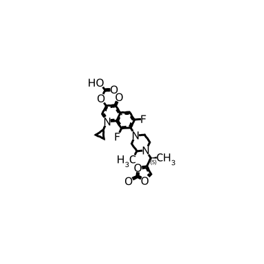 CC1CN(c2c(F)cc3c(=O)c(OC(=O)O)cn(C4CC4)c3c2F)CCN1[C@@H](C)c1coc(=O)o1